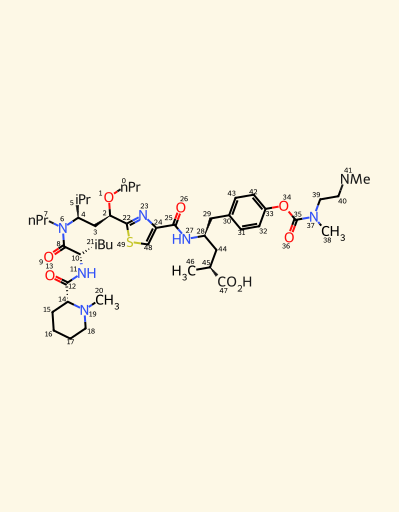 CCCO[C@H](C[C@H](C(C)C)N(CCC)C(=O)[C@@H](NC(=O)[C@H]1CCCCN1C)[C@@H](C)CC)c1nc(C(=O)N[C@@H](Cc2ccc(OC(=O)N(C)CCNC)cc2)C[C@H](C)C(=O)O)cs1